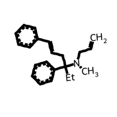 C=CCN(C)C(CC)(C/C=C/c1ccccc1)c1ccccc1